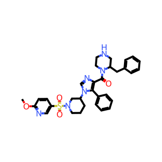 COc1ccc(S(=O)(=O)N2CCCC(n3cnc(C(=O)N4CCNCC4Cc4ccccc4)c3-c3ccccc3)C2)cn1